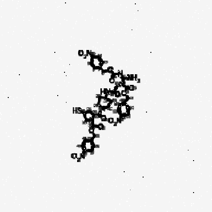 NC(=NC(=O)OCc1ccc([N+](=O)[O-])cc1)N(CC(=O)NC1CCN(C(=O)[C@@H]2C[C@H](S)CN2C(=O)OCc2ccc([N+](=O)[O-])cc2)CC1)C(=O)OCc1ccc([N+](=O)[O-])cc1